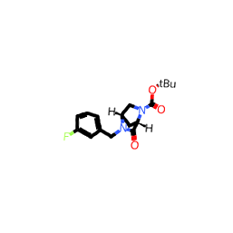 CC(C)(C)OC(=O)N1C[C@@H]2C[C@H]1C(=O)N2Cc1cccc(F)c1